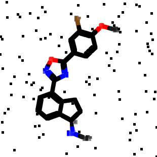 CCCN[C@@H]1CCc2c(-c3noc(-c4ccc(OC(C)C)c(Br)c4)n3)cccc21